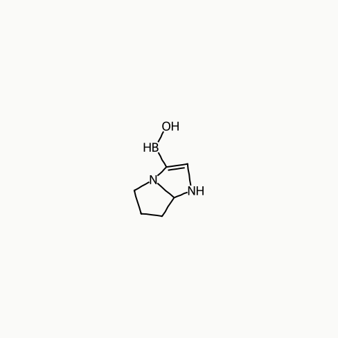 OBC1=CNC2CCCN12